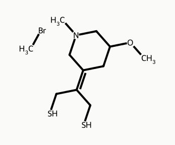 CBr.COC1CC(=C(CS)CS)CN(C)C1